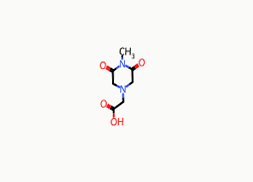 CN1C(=O)CN(CC(=O)O)CC1=O